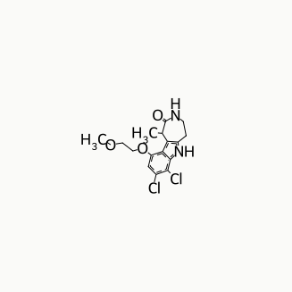 COCCOc1cc(Cl)c(Cl)c2[nH]c3c(c12)C(C)C(=O)NCC3